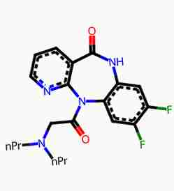 CCCN(CCC)CC(=O)N1c2cc(F)c(F)cc2NC(=O)c2cccnc21